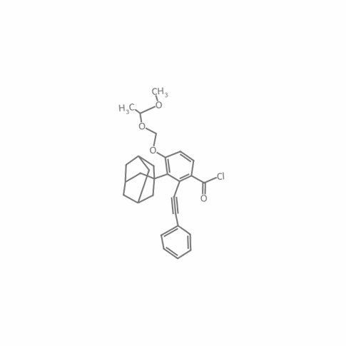 COC(C)OCOc1ccc(C(=O)Cl)c(C#Cc2ccccc2)c1C12CC3CC(CC(C3)C1)C2